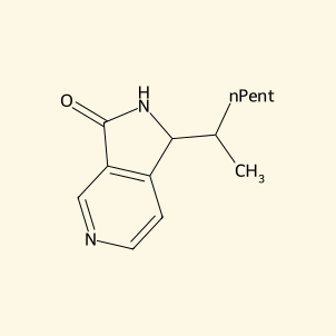 CCCCCC(C)C1NC(=O)c2cnccc21